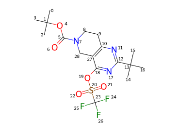 CC(C)(C)OC(=O)N1CCc2nc(C(C)(C)C)nc(OS(=O)(=O)C(F)(F)F)c2C1